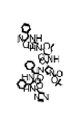 CCC[C@H](NC(=O)[C@@H]1CN(C(=O)OC(C)(C)C)C[C@@H]1NC(=O)[C@@H](NC(=O)[C@@H](NC(=O)c1cnccn1)C1CCCCC1)C1CCCCC1)C(=O)C(=O)NCC(=O)N[C@H](C(=O)N(C)C)c1ccccc1